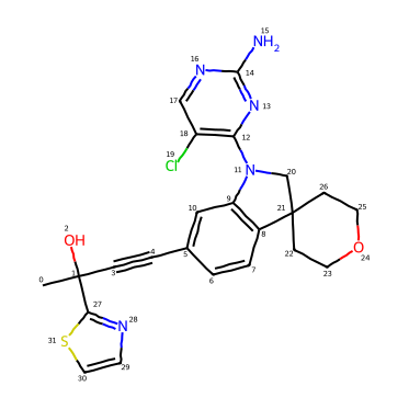 CC(O)(C#Cc1ccc2c(c1)N(c1nc(N)ncc1Cl)CC21CCOCC1)c1nccs1